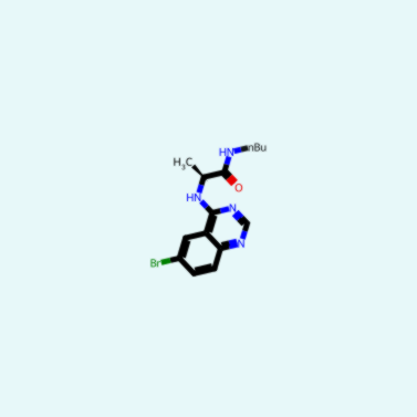 CCCCNC(=O)[C@H](C)Nc1ncnc2ccc(Br)cc12